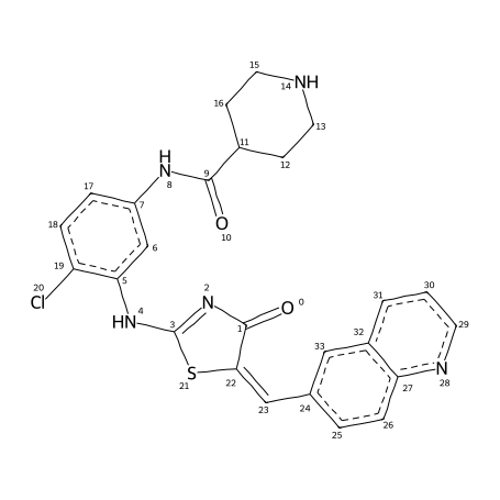 O=C1N=C(Nc2cc(NC(=O)C3CCNCC3)ccc2Cl)SC1=Cc1ccc2ncccc2c1